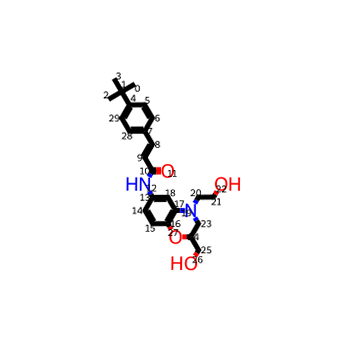 CC(C)(C)c1ccc(/C=C/C(=O)Nc2ccc3c(c2)N(CCO)CC(CO)O3)cc1